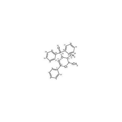 CC(OC(=O)c1ccccc1)C(C)OP(=O)(c1ccccc1)c1ccccc1